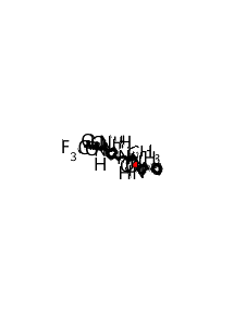 C[C@H](NC(=O)[C@H]1C[C@H](c2ccccc2)CN1)C(=O)NCc1ccc(C(=N)NC(=O)OC(=O)C(F)(F)F)cc1